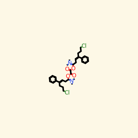 CN(C)C(CC=C(CCCCl)c1ccccc1)OC(=O)C(=O)OC(CC=C(CCCCl)c1ccccc1)N(C)C